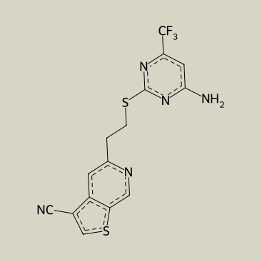 N#Cc1csc2cnc(CCSc3nc(N)cc(C(F)(F)F)n3)cc12